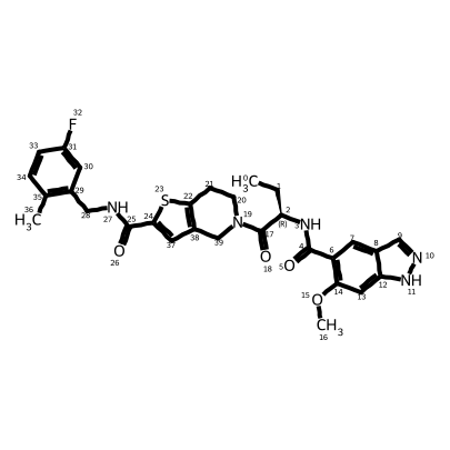 CC[C@@H](NC(=O)c1cc2cn[nH]c2cc1OC)C(=O)N1CCc2sc(C(=O)NCc3cc(F)ccc3C)cc2C1